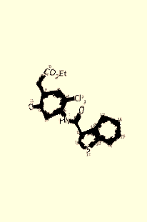 CCOC(=O)Cc1cc(Cl)c(NC(=O)c2csc3ccccc23)cc1Cl